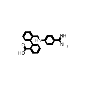 N=C(N)c1ccc(NCc2ccccc2-c2ccccc2C(=O)O)cc1